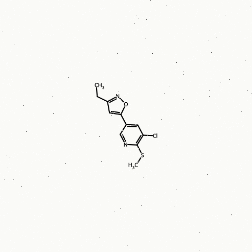 CCc1cc(-c2cnc(SC)c(Cl)c2)on1